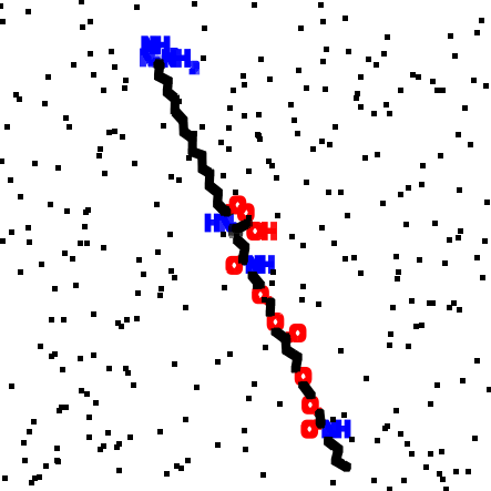 CCCCNC(=O)COCCOCCCC(=O)COCCOCCNC(=O)CC[C@H](NC(=O)CCCCCCCCCCCCCCC/C(N)=N/N)C(=O)O